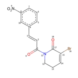 O=C(/C=C/c1cccc([N+](=O)[O-])c1)N1CCC=C(Br)C1=O